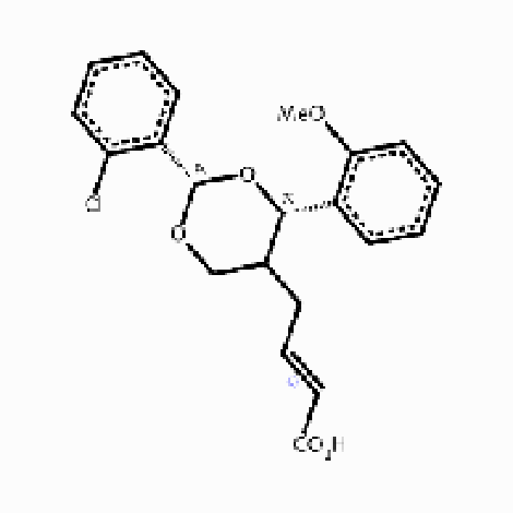 COc1ccccc1[C@H]1O[C@@H](c2ccccc2Cl)OCC1C/C=C/C(=O)O